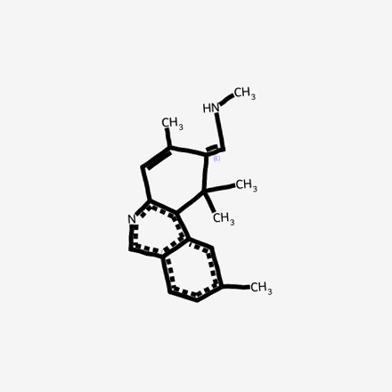 CN/C=C1\C(C)=Cc2ncc3ccc(C)cc3c2C1(C)C